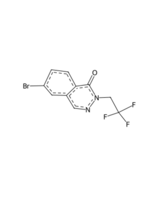 O=c1c2ccc(Br)cc2cnn1CC(F)(F)F